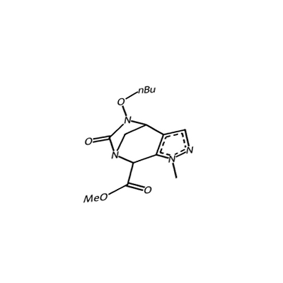 CCCCON1C(=O)N2CC1c1cnn(C)c1C2C(=O)OC